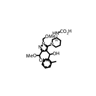 COCn1nc(C(OC)OC)c(C(O)c2ccccc2C)c1N1CCC[C@@H](NC(=O)O)C1